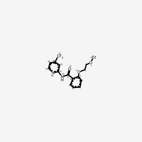 CCOCCOc1ccccc1C(=O)Nc1cc(C(F)(F)F)ccn1